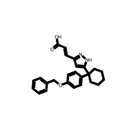 O=C(O)/C=C/c1cc(C2(c3ccc(OCc4ccccc4)cc3)CCCCC2)[nH]n1